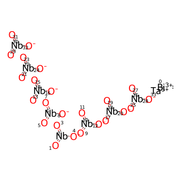 [Bi+3].[O]=[Nb](=[O])[O-].[O]=[Nb](=[O])[O-].[O]=[Nb](=[O])[O-].[O]=[Nb](=[O])[O-].[O]=[Nb](=[O])[O-].[O]=[Nb](=[O])[O-].[O]=[Nb](=[O])[O-].[O]=[Nb](=[O])[O-].[Ta+5]